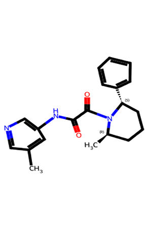 Cc1cncc(NC(=O)C(=O)N2[C@H](C)CCC[C@H]2c2ccccc2)c1